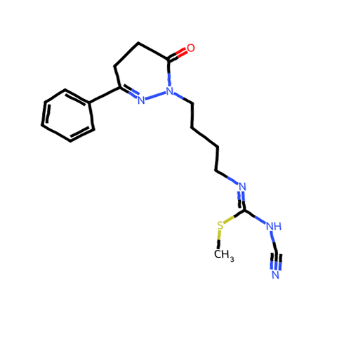 CSC(=NCCCCN1N=C(c2ccccc2)CCC1=O)NC#N